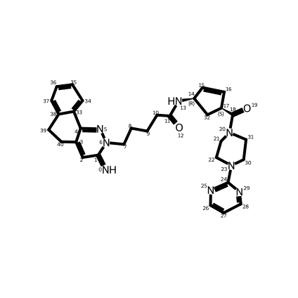 N=c1cc2c(nn1CCCCC(=O)N[C@H]1C=C[C@@H](C(=O)N3CCN(c4ncccn4)CC3)C1)-c1ccccc1CC2